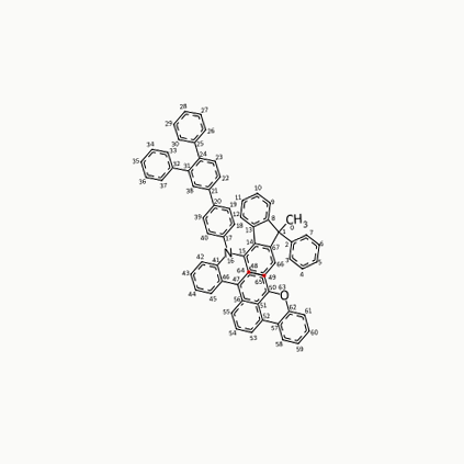 CC1(c2ccccc2)c2ccccc2-c2c(N(c3ccc(-c4ccc(-c5ccccc5)c(-c5ccccc5)c4)cc3)c3ccccc3-c3ccc4c5c(cccc35)-c3ccccc3O4)cccc21